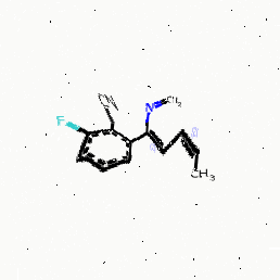 C=N/C(=C\C=C/C)c1cccc(F)c1C#N